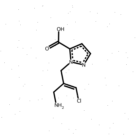 NCC(=CCl)Cn1nccc1C(=O)O